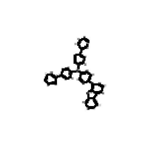 c1ccc(-c2ccc(N(c3ccc(-c4ccccc4)cc3)c3ccc(-c4cccc5c4oc4cnccc45)cc3)cc2)cc1